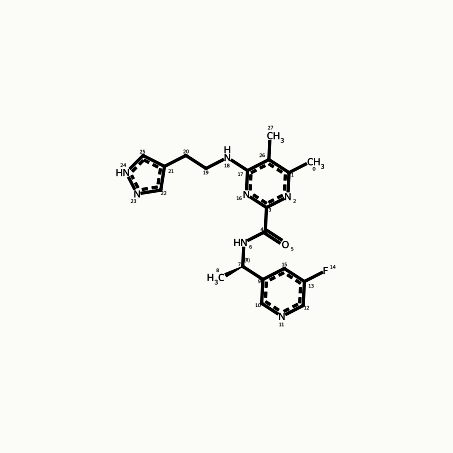 Cc1nc(C(=O)N[C@H](C)c2cncc(F)c2)nc(NCCc2cn[nH]c2)c1C